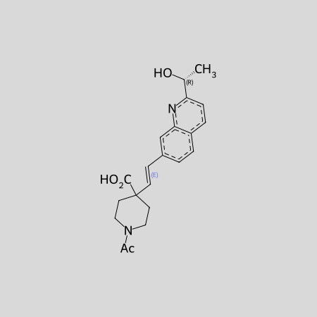 CC(=O)N1CCC(/C=C/c2ccc3ccc([C@@H](C)O)nc3c2)(C(=O)O)CC1